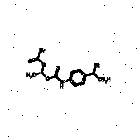 CCC(C(=O)O)c1ccc(NC(=O)O[C@H](C)OC(=O)C(C)C)cc1